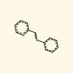 C(=Nc1ccccc1)c1ccccn1